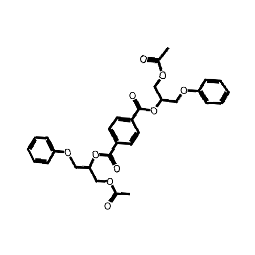 CC(=O)OCC(COc1ccccc1)OC(=O)c1ccc(C(=O)OC(COC(C)=O)COc2ccccc2)cc1